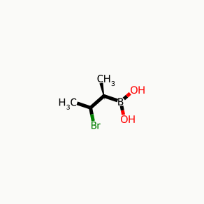 CC(Br)[C@@H](C)B(O)O